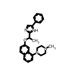 CC(Oc1ccc2cccc(N3CCN(C)CC3)c2c1)c1ncc(-c2ccccc2)[nH]1